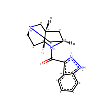 O=C(c1n[nH]c2ccccc12)N1[C@@H]2C[C@H]3C[N@](CC[C@H]31)C2